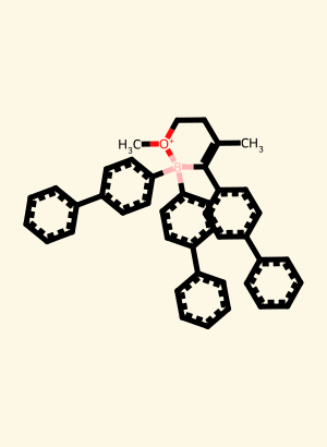 CC1=C(c2ccc(-c3ccccc3)cc2)[B-](c2ccc(-c3ccccc3)cc2)(c2ccc(-c3ccccc3)cc2)[O+](C)CC1